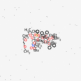 C=CCOCC=C[C@H]1CC(=C)[C@H](CC[C@H]2C[C@@H](C)C(=C)[C@@H](C[C@@H]3O[C@H](C[C@H]4CN(C(=O)OC(C)(C)C)C(C)(C)O4)[C@H](OC)[C@H]3[C@@H](C(=O)C[C@H]3CC[C@@H]4O[C@@H]5[C@@H](O[C@H](CC(C=C)O[Si](CC)(CC)CC)[C@@H]5O[Si](c5ccccc5)(c5ccccc5)C(C)(C)C)[C@@H](O[Si](c5ccccc5)(c5ccccc5)C(C)(C)C)[C@H]4O3)S(=O)(=O)c3ccccc3)O2)O1